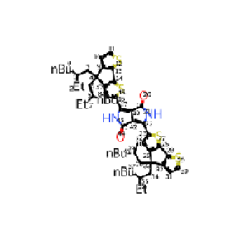 CCCCC(CC)CC1(CC(CC)CCCC)c2ccsc2-c2sc(C3=C4C(=O)NC(c5cc6c(s5)-c5sccc5C6(CC(CC)CCCC)C[C@@H](C)CCCC)=C4C(=O)N3)cc21